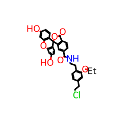 CCOc1cc(CCCl)ccc1CCNC(=O)c1ccc2c(c1)C1(OC2=O)c2ccc(O)cc2Oc2cc(O)ccc21